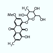 COc1cc(OC2OC(CO)C(O)C(C)C2O)c2c(c1)C(=O)c1cc(C)cc(O)c1C2=O